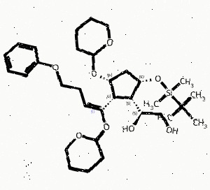 CC(C)(C)[Si](C)(C)O[C@H]1C[C@@H](OC2CCCCO2)[C@@H](/C(=C\CCOc2ccccc2)OC2CCCCO2)[C@H]1[C@H](O)CO